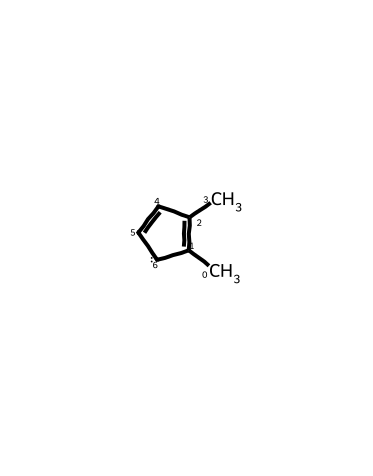 CC1=C(C)C=C[C]1